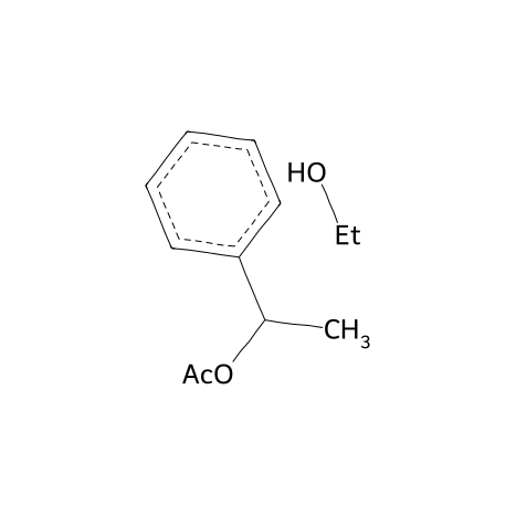 CC(=O)OC(C)c1ccccc1.CCO